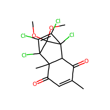 COC1(OC)C2(Cl)C(Cl)=C(Cl)C1(Cl)C1(C)C(=O)C=C(C)C(=O)C12